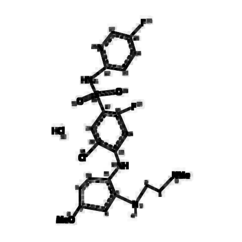 CNCCN(C)c1cc(OC)ccc1Nc1cc(F)c(S(=O)(=O)Nc2ccc(F)cn2)cc1Cl.Cl